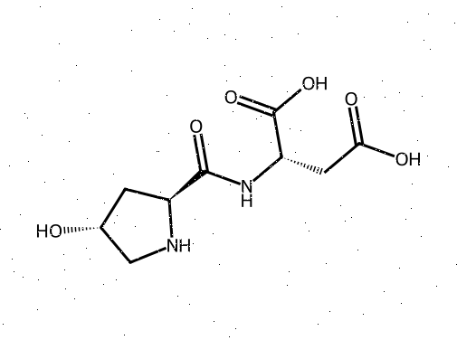 O=C(O)C[C@H](NC(=O)[C@@H]1C[C@@H](O)CN1)C(=O)O